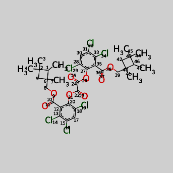 CC1C(C)(C)CC1(C)COC(=O)c1c(Cl)c(Cl)cc(Cl)c1OC(=O)C(=O)Oc1c(Cl)cc(Cl)c(Cl)c1C(=O)OCC1(C)CC(C)(C)C1C